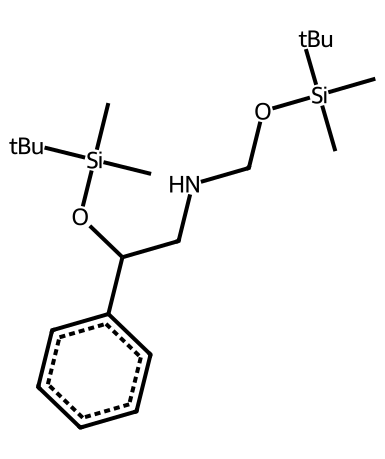 CC(C)(C)[Si](C)(C)OCNCC(O[Si](C)(C)C(C)(C)C)c1ccccc1